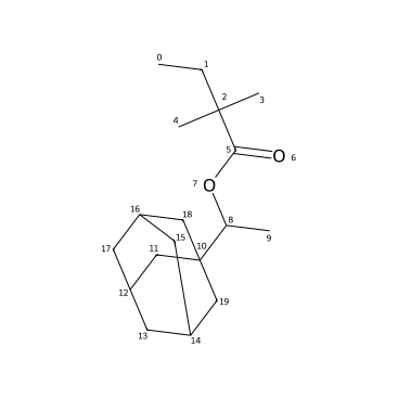 CCC(C)(C)C(=O)OC(C)C12CC3CC(CC(C3)C1)C2